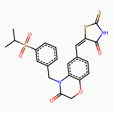 CC(C)S(=O)(=O)c1cccc(CN2C(=O)COc3ccc(C=C4SC(=S)NC4=O)cc32)c1